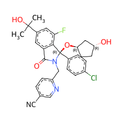 CC(C)(O)c1cc(F)c2c(c1)C(=O)N(Cc1ccc(C#N)cn1)[C@@]2(O[C@@H]1CC[C@@H](O)C1)c1ccc(Cl)cc1